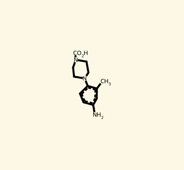 Cc1cc(N)ccc1N1CCN(C(=O)O)CC1